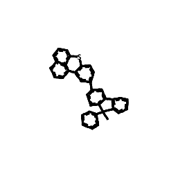 CC1(c2ccccc2)c2ccccc2-c2cc(-c3ccc4c(c3)-c3cccc5cccc(c35)S4)ccc21